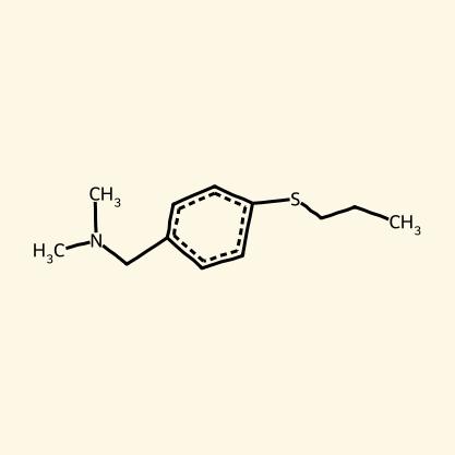 CCCSc1ccc(CN(C)C)cc1